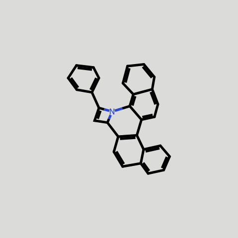 C1=C(c2ccccc2)N2c3c(ccc4ccccc34)-c3c(ccc4ccccc34)C12